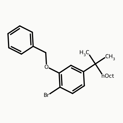 CCCCCCCCC(C)(C)c1ccc(Br)c(OCc2ccccc2)c1